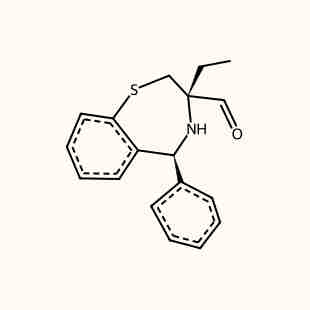 CC[C@]1(C=O)CSc2ccccc2[C@H](c2ccccc2)N1